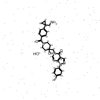 Cl.NCC1(c2ccc(C(=O)N3CCC(O)(Cn4cnc5c(cnn5-c5ccc(F)cc5)c4=O)CC3)cc2)CC1